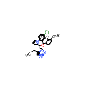 COc1cccc([C@H]2O[C@H](CCn3nncc3CC#N)c3cccn3-c3ccc(Cl)cc32)c1OC